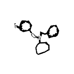 Fc1cccc(ON(Cc2ccccc2)C2CCCCCC2)c1